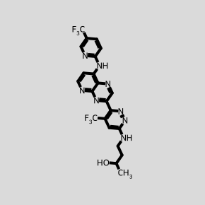 CC(O)CCNc1cc(C(F)(F)F)c(-c2cnc3c(Nc4ccc(C(F)(F)F)cn4)ccnc3n2)nn1